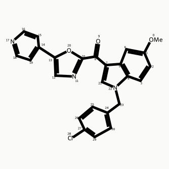 COc1ccc2c(c1)c(C(=O)c1ncc(-c3ccncc3)o1)cn2Cc1ccc(Cl)cc1